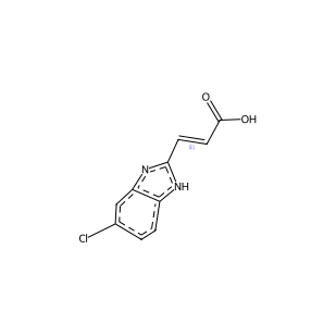 O=C(O)/C=C/c1nc2cc(Cl)ccc2[nH]1